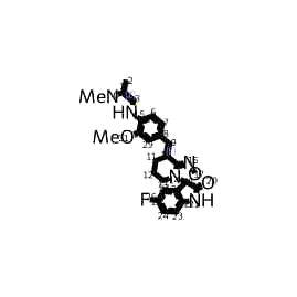 CN/C(C)=C\Nc1ccc(/C=C2\CCCN3C2=NOC32C(=O)Nc3ccc(F)cc32)cc1OC